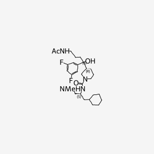 CNC[C@H](CC1CCCCC1)NC(=O)N1CCC[C@@H]([C@@](O)(CCCNC(C)=O)c2cc(F)cc(F)c2)C1